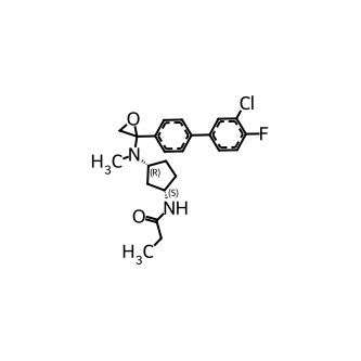 CCC(=O)N[C@H]1CC[C@@H](N(C)C2(c3ccc(-c4ccc(F)c(Cl)c4)cc3)CO2)C1